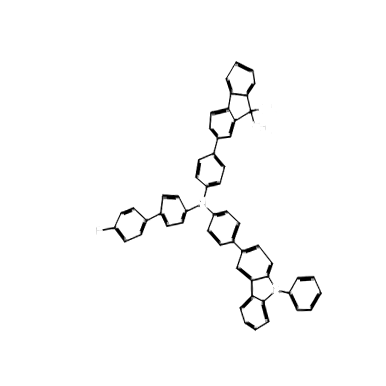 CC1(C)c2ccccc2-c2ccc(-c3ccc(N(c4ccc(-c5ccc(F)cc5)cc4)c4ccc(-c5ccc6c(c5)c5ccccc5n6-c5ccccc5)cc4)cc3)cc21